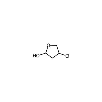 O[C]1CC(Cl)CO1